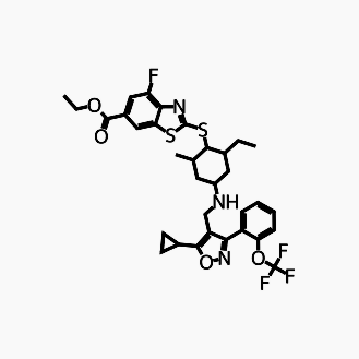 CCOC(=O)c1cc(F)c2nc(SC3C(C)CC(NCc4c(-c5ccccc5OC(F)(F)F)noc4C4CC4)CC3CC)sc2c1